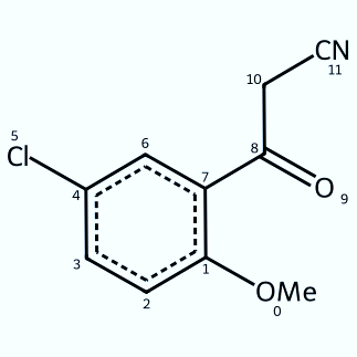 COc1ccc(Cl)cc1C(=O)CC#N